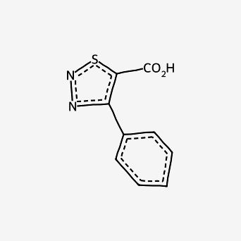 O=C(O)c1snnc1-c1ccccc1